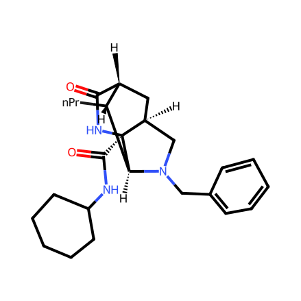 CCC[C@H]1[C@@H]2N(Cc3ccccc3)C[C@@H]3C[C@H]1C(=O)N[C@@]32C(=O)NC1CCCCC1